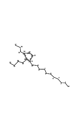 CCCCCCCCCCCn1cc[n+](CCC)c1CCCC